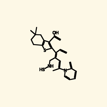 C=C/C(=C(\C=C(/C)N1C=CC=CC1=C)CNS)c1sc2c(c1C(=C)O)CC(C)(C)CC2